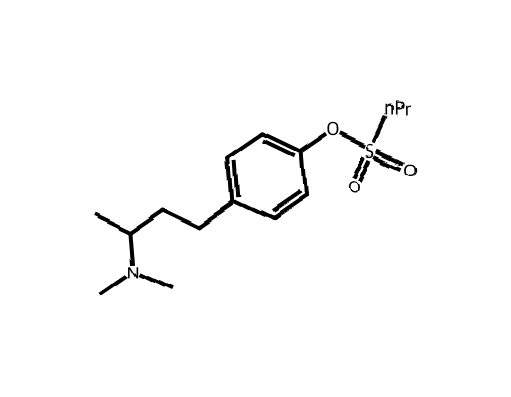 CCCS(=O)(=O)Oc1ccc(CCC(C)N(C)C)cc1